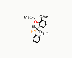 CCC(CC)(Pc1ccccc1C=O)c1cccc(OC)c1OCOC